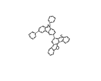 c1ccc(-c2ccc3c(c2)c2cc(-c4cc5c6ccccc6oc5c5c4sc4ccccc45)ccc2n3-c2ccccc2)cc1